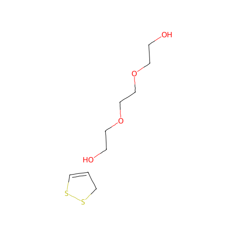 C1=CSSC1.OCCOCCOCCO